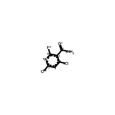 NC(=O)c1c(Cl)cc(Cl)nc1F